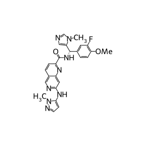 COc1ccc([C@H](NC(=O)c2ccc3cnc(Nc4ccnn4C)cc3n2)c2cncn2C)cc1F